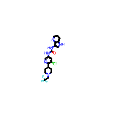 O=C(Nc1cnc(C2CCN(CC(F)(F)F)CC2)c(Cl)c1)Nc1c[nH]c2cccnc12